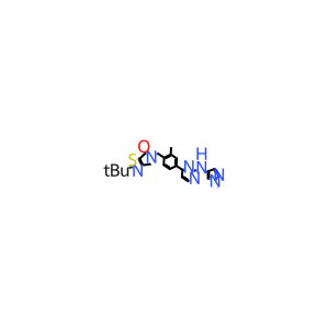 Cc1cc(-c2ccnc(Nc3cnn(C)c3)n2)ccc1CN1Cc2nc(C(C)(C)C)sc2C1=O